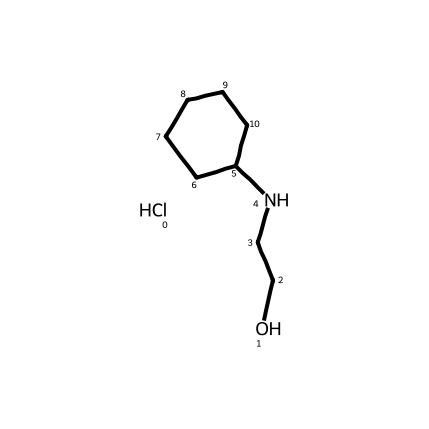 Cl.OCCNC1CCCCC1